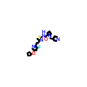 O=C(Nc1nc(/C=C/c2ncc(OC3CCCC3)cc2F)cs1)c1cccn1Cc1ccncc1